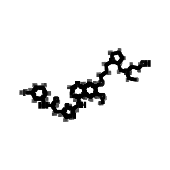 CCN(CCO)C[C@@H]1CCCN1CCCOc1cc2ncnc(Nc3ncc(CC(=O)Nc4cccc(F)c4)s3)c2cc1OC